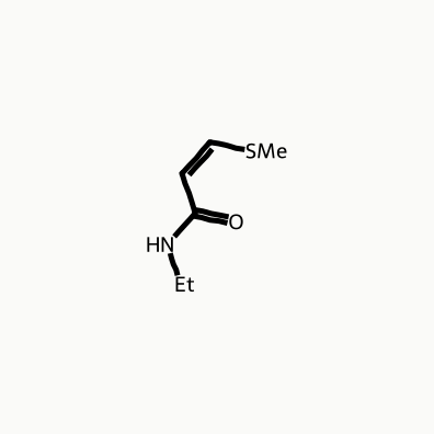 CCNC(=O)/C=C\SC